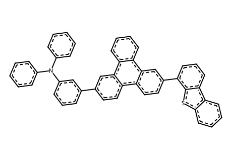 c1ccc(N(c2ccccc2)c2cccc(-c3ccc4c5ccc(-c6cccc7c6sc6ccccc67)cc5c5ccccc5c4c3)c2)cc1